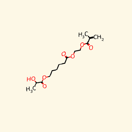 C=C(C)C(=O)OCCOC(=O)CCCCCOC(=O)C(C)O